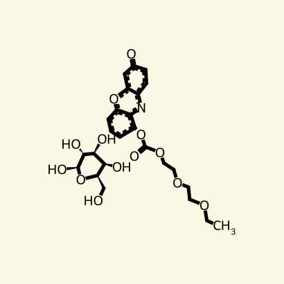 CCOCCOCCOC(=O)Oc1cccc2oc3cc(=O)ccc-3nc12.OC[C@H]1O[C@@H](O)[C@H](O)[C@@H](O)[C@H]1O